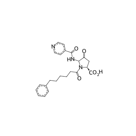 O=C(NC1C(=O)C[C@@H](C(=O)O)N1C(=O)CCCCCc1ccccc1)c1ccncc1